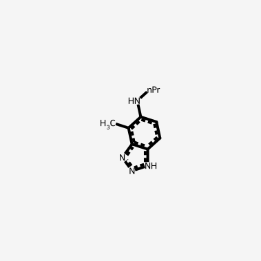 CCCNc1ccc2[nH]nnc2c1C